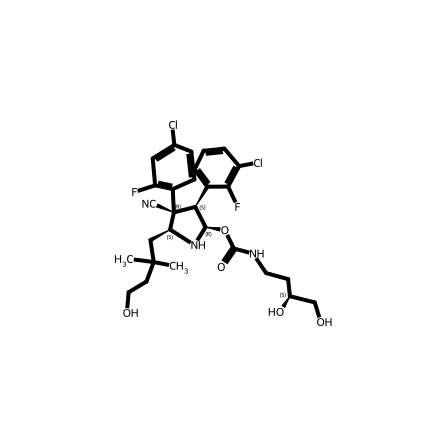 CC(C)(CCO)C[C@@H]1N[C@H](OC(=O)NCC[C@H](O)CO)[C@H](c2cccc(Cl)c2F)[C@@]1(C#N)c1ccc(Cl)cc1F